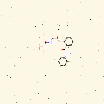 C[C@H](NC(=O)OC(C)(C)C)C(=O)Cc1cccc(Cl)c1C(=O)Nc1ccc(F)cc1F